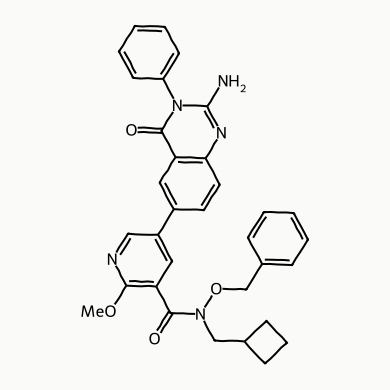 COc1ncc(-c2ccc3nc(N)n(-c4ccccc4)c(=O)c3c2)cc1C(=O)N(CC1CCC1)OCc1ccccc1